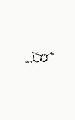 CCC(C)c1ccc(OC(C)OC)c(OC)c1